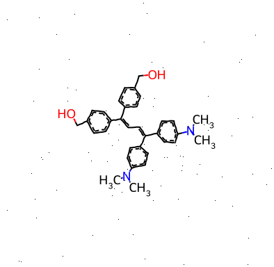 CN(C)c1ccc(C(=CC=C(c2ccc(CO)cc2)c2ccc(CO)cc2)c2ccc(N(C)C)cc2)cc1